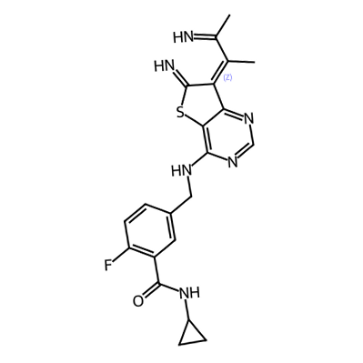 CC(=N)/C(C)=C1\C(=N)Sc2c(NCc3ccc(F)c(C(=O)NC4CC4)c3)ncnc21